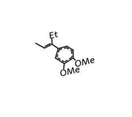 CC=C(CC)c1ccc(OC)c(OC)c1